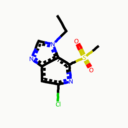 CCn1cnc2cc(Cl)nc(S(C)(=O)=O)c21